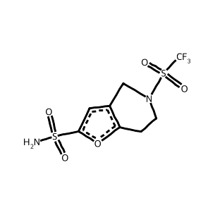 NS(=O)(=O)c1cc2c(o1)CCN(S(=O)(=O)C(F)(F)F)C2